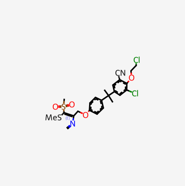 C=N/C(COc1ccc(C(C)(C)c2cc(Cl)c(OCCCl)c(C#N)c2)cc1)=C(\SC)S(C)(=O)=O